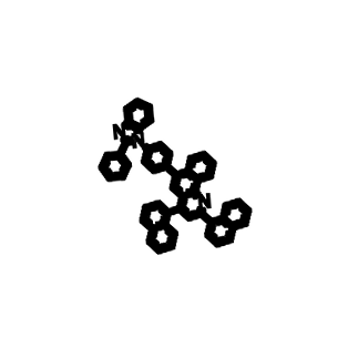 c1ccc(-c2nc3ccccc3n2-c2ccc(-c3cc4c(-c5cccc6ccccc56)cc(-c5cccc6ccccc56)nc4c4ccccc34)cc2)cc1